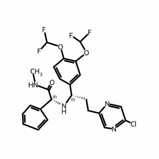 CNC(=O)[C@H](N[C@@H](CCc1cnc(Cl)cn1)c1ccc(OC(F)F)c(OC(F)F)c1)c1ccccc1